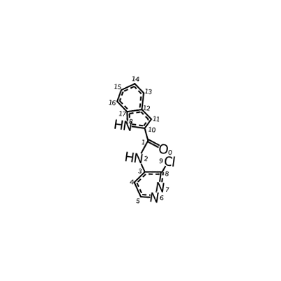 O=C(Nc1ccnnc1Cl)c1cc2ccccc2[nH]1